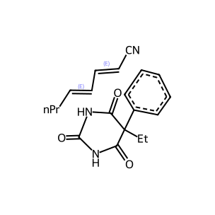 CCC/C=C/C=C/C#N.CCC1(c2ccccc2)C(=O)NC(=O)NC1=O